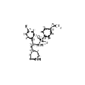 O=S(=O)(N[C@@H](CN1CCNCC1)c1ccc(F)cc1)c1ccc(OC(F)(F)F)cc1